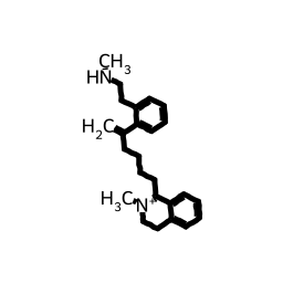 C=C(CCCCC1=[N+](C)CCc2ccccc21)c1ccccc1CCNC